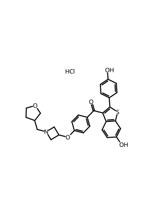 Cl.O=C(c1ccc(OC2CN(CC3CCOC3)C2)cc1)c1c(-c2ccc(O)cc2)sc2cc(O)ccc12